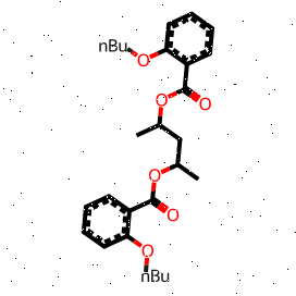 CCCCOc1ccccc1C(=O)OC(C)CC(C)OC(=O)c1ccccc1OCCCC